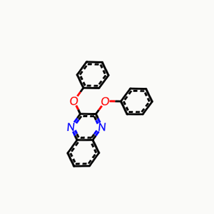 c1ccc(Oc2nc3ccccc3nc2Oc2ccccc2)cc1